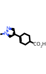 Cn1cc(C2=CCC(C(=O)O)CC2)cn1